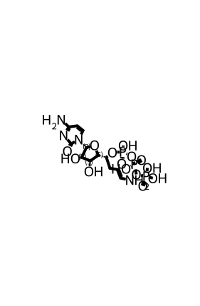 NC=CCC(OP(=O)(O)OP(=O)(O)OP(=O)(O)O)[C@H]1O[C@@H](n2ccc(N)nc2=O)[C@H](O)[C@@H]1O